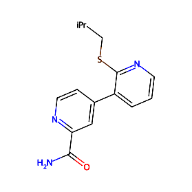 CC(C)CSc1ncccc1-c1ccnc(C(N)=O)c1